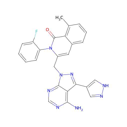 Cc1cccc2cc(Cn3nc(-c4cn[nH]c4)c4c(N)ncnc43)n(-c3ccccc3F)c(=O)c12